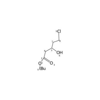 CC(C)(C)OC(=O)CC(O)CCCl